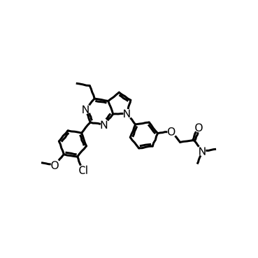 CCc1nc(-c2ccc(OC)c(Cl)c2)nc2c1ccn2-c1cccc(OCC(=O)N(C)C)c1